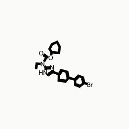 CCN(C(=O)OC1CCCCC1)c1nc(-c2ccc(-c3ccc(Br)cc3)cc2)c[nH]1